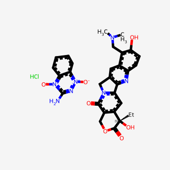 CC[C@@]1(O)C(=O)OCc2c1cc1n(c2=O)Cc2cc3c(CN(C)C)c(O)ccc3nc2-1.Cl.Nc1n[n+]([O-])c2ccccc2[n+]1[O-]